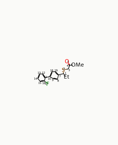 CCC(SCC(=O)OC)c1ccc(-c2ccccc2F)cc1